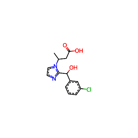 CC(CC(=O)O)n1ccnc1C(O)c1cccc(Cl)c1